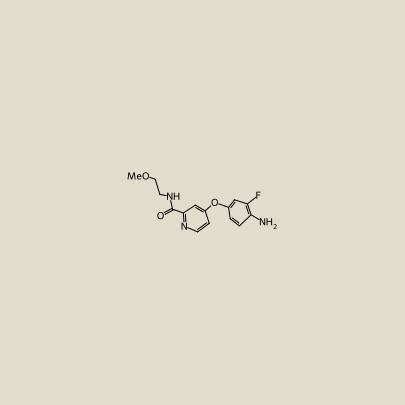 COCCNC(=O)c1cc(Oc2ccc(N)c(F)c2)ccn1